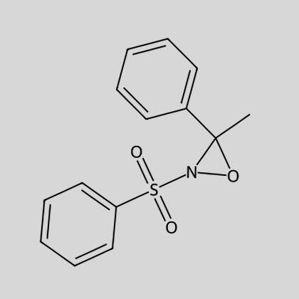 CC1(c2ccccc2)ON1S(=O)(=O)c1ccccc1